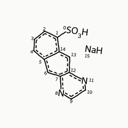 O=S(=O)(O)c1cccc2cc3nccnc3cc12.[NaH]